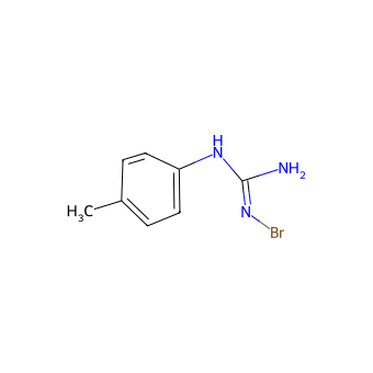 Cc1ccc(NC(N)=NBr)cc1